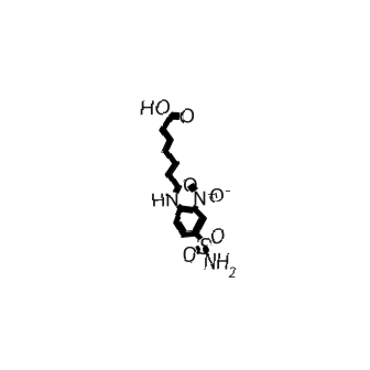 NS(=O)(=O)c1ccc(NCCCCCCC(=O)O)c([N+](=O)[O-])c1